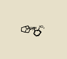 O=C(O)N1C2CCC1CC(Nc1ccccc1[N+](=O)[O-])C2